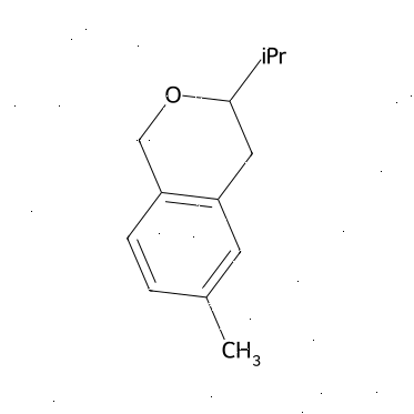 Cc1ccc2c(c1)CC(C(C)C)OC2